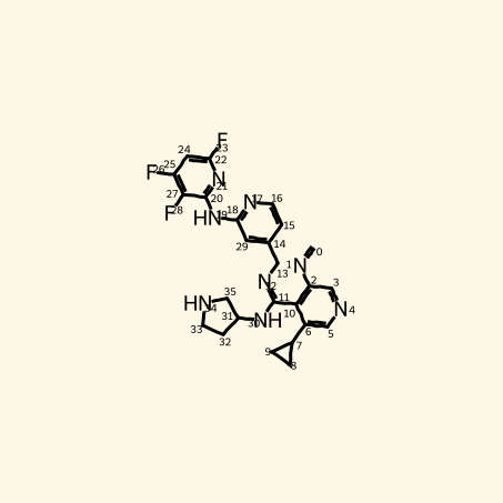 C=Nc1cncc(C2CC2)c1/C(=N\Cc1ccnc(Nc2nc(F)cc(F)c2F)c1)NC1CCNC1